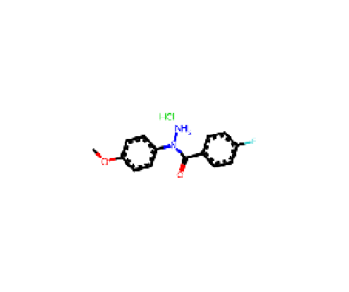 COc1ccc(N(N)C(=O)c2ccc(F)cc2)cc1.Cl